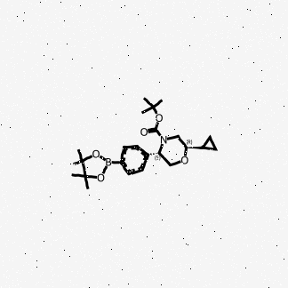 CC(C)(C)OC(=O)N1C[C@@H](C2CC2)OC[C@@H]1c1ccc(B2OC(C)(C)C(C)(C)O2)cc1